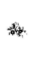 C=CCC(C)(N[S+]([O-])C(C)(C)C)[C@H]1[C@H](c2ccc(F)cc2)[C@@H](O[C@H](C)c2cc(C(F)(F)F)cc(C(F)(F)F)c2)CN1C(=O)O